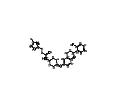 Cc1noc(CCC(=O)NC2CCC(Oc3ccc4c(c3)CCC(c3ccccc3F)O4)CC2)n1